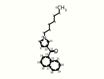 CCCCCCCn1ccc(C(=O)c2cccc3ccccc23)c1